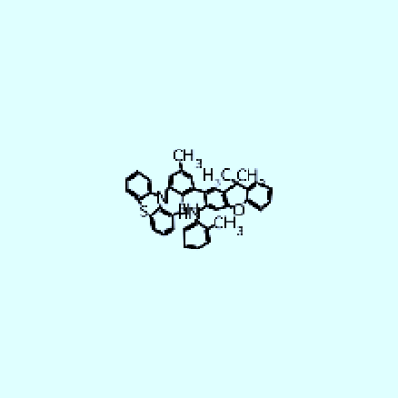 Cc1cc(-c2cc3c(cc2Nc2ccccc2C)Oc2ccccc2C3(C)C)c2c(c1)N1c3ccccc3Sc3cccc(c31)B2